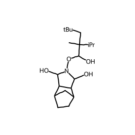 CC(C)C(C)(CC(C)(C)C)C(O)ON1C(O)C2C3CCC(C3)C2C1O